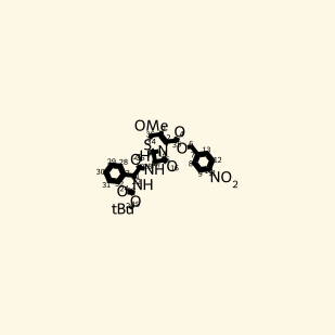 COC1=C(C(=O)OCc2ccc([N+](=O)[O-])cc2)N2C(=O)[C@@H](NC(=O)C(NC(=O)OC(C)(C)C)c3ccccc3)[C@H]2SC1